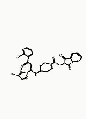 O=C(CN1C(=O)c2ccccc2C1=O)N1CCC(Nc2cc(-c3ccccc3Cl)nc3c(Br)cnn23)CC1